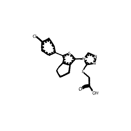 O=C(O)CSc1nncn1-c1sc(-c2ccc(Cl)cc2)c2c1CCC2